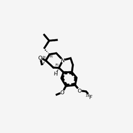 COc1cc2c(cc1OC[18F])CCN1C[C@@H](CC(C)C)[C@@]3(CO3)C[C@H]21